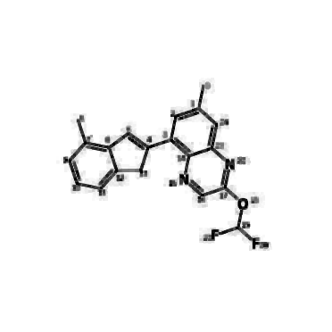 Cc1cc(C2=Cc3c(C)cccc3C2)c2ncc(OC(F)F)nc2c1